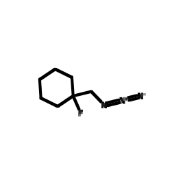 [N-]=[N+]=NCC1(F)CCCCC1